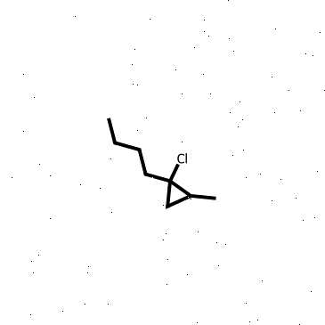 CCCCC1(Cl)C[C]1C